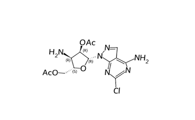 CC(=O)OC[C@H]1O[C@@H](n2ncc3c(N)nc(Cl)nc32)[C@H](OC(C)=O)[C@@H]1N